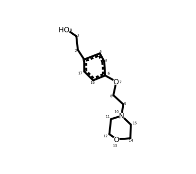 OCCc1ccc(OCCN2CCOCC2)cc1